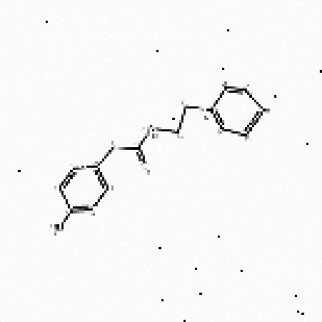 O=C(Cc1ccc(O)cc1)NCCc1ccccc1